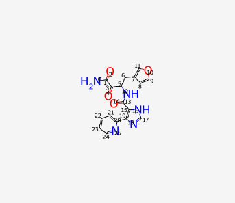 NC(=O)C(=O)C(Cc1ccoc1)NC(=O)c1[nH]cnc1-c1ccccn1